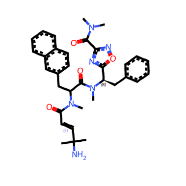 CN(C)C(=O)c1noc([C@@H](Cc2ccccc2)N(C)C(=O)C(Cc2ccc3ccccc3c2)N(C)C(=O)/C=C/C(C)(C)N)n1